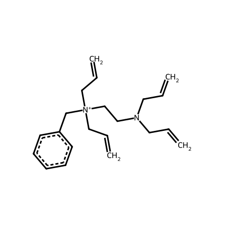 C=CCN(CC=C)CC[N+](CC=C)(CC=C)Cc1ccccc1